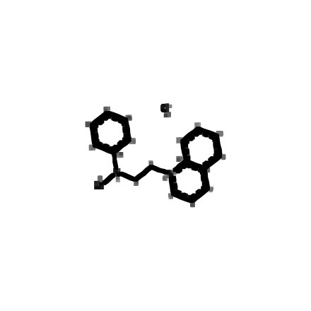 CCN(CC[n+]1cccc2ccccc21)c1ccccc1.[Cl-]